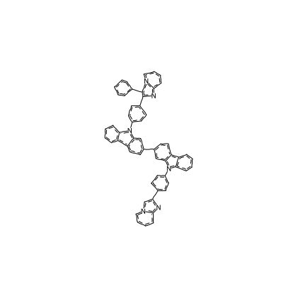 c1ccc(-c2c(-c3ccc(-n4c5ccccc5c5ccc(-c6ccc7c8ccccc8n(-c8ccc(-c9cn%10ccccc%10n9)cc8)c7c6)cc54)cc3)nc3ccccn23)cc1